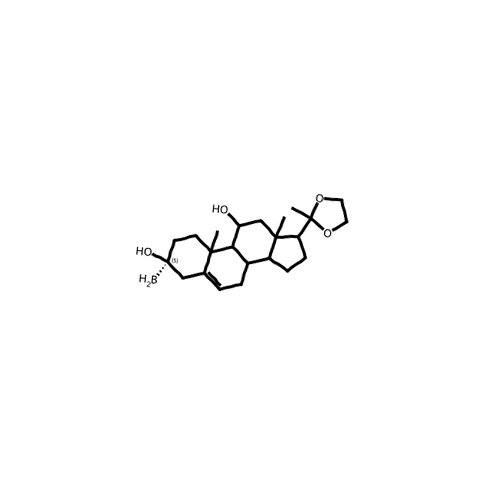 B[C@]1(O)CCC2(C)C(=CCC3C2C(O)CC2(C)C3CCC2C2(C)OCCO2)C1